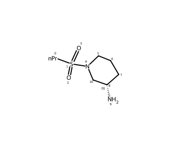 CCCS(=O)(=O)N1CCC[C@H](N)C1